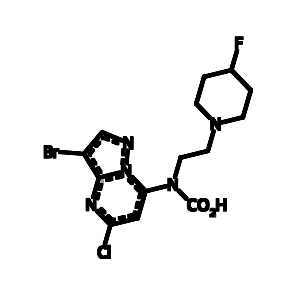 O=C(O)N(CCN1CCC(F)CC1)c1cc(Cl)nc2c(Br)cnn12